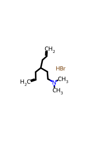 Br.C=CCC(CC=C)CCN(C)C